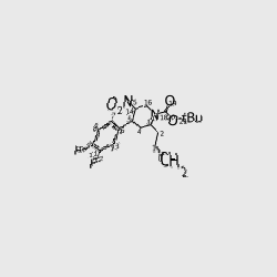 C=CCC1CC(c2ccc(F)c(F)c2)C([N+](=O)[O-])CN1C(=O)OC(C)(C)C